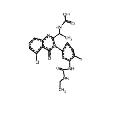 CCNC(=O)Nc1cc(-n2c(C(C)NC(=O)O)nc3cccc(Cl)c3c2=O)ccc1F